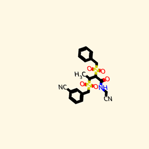 CC(C(C(=O)NCC#N)S(=O)(=O)Cc1ccccc1)S(=O)(=O)Cc1cccc(C#N)c1